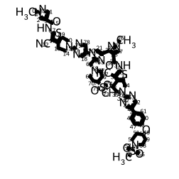 Cn1cc(C(=O)Nc2sc3c(c2C#N)CCN(c2ncc(-n4cc(-c5nn(C)cc5C(=O)Nc5sc6c(c5C#N)CCN(c5ncc(-c7ccc(OC8CCN(S(C)(=O)=O)CC8)cc7)cn5)C6)nc4CN4CCC(S(C)(=O)=O)CC4)cn2)C3)cn1